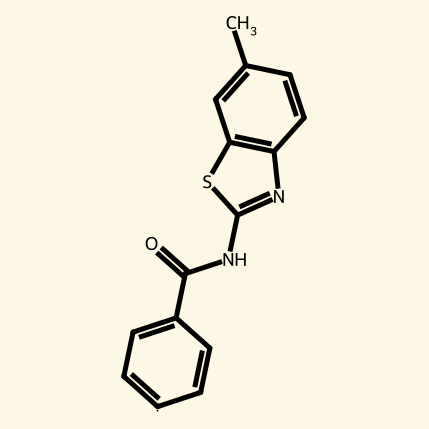 Cc1ccc2nc(NC(=O)c3cc[c]cc3)sc2c1